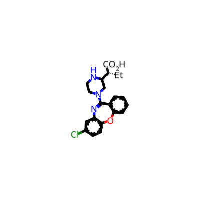 CC[C@@H](C(=O)O)C1CN(C2=Nc3cc(Cl)ccc3Oc3ccccc32)CCN1